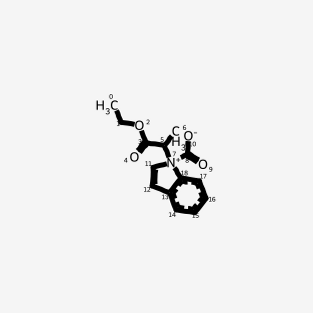 CCOC(=O)C(C)[N+]1(C(=O)[O-])C=Cc2ccccc21